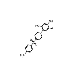 Cc1ccc(S(=O)(=O)N2CCC(c3cc(F)c(O)cc3O)CC2)cc1